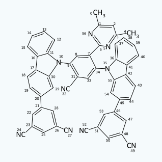 Cc1cc(C)nc(-c2cc(-n3c4ccccc4c4ccc(-c5cc(C#N)cc(C#N)c5)cc43)c(C#N)cc2-n2c3ccccc3c3ccc(-c4cc(C#N)cc(C#N)c4)cc32)n1